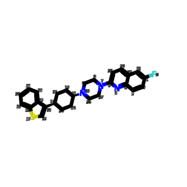 Fc1ccc2nc(N3CCN([C@H]4CC[C@H](c5csc6ccccc65)CC4)CC3)ccc2c1